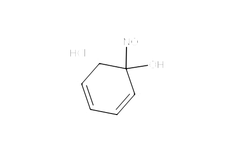 Cl.O=NC1(O)C=CC=CC1